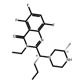 CCC[C@H](c1nc2c(F)cc(F)c(F)c2c(=O)n1CC)N1CCN[C@@H](C)C1